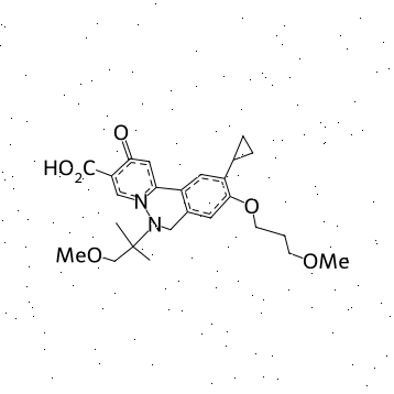 COCCCOc1cc2c(cc1C1CC1)-c1cc(=O)c(C(=O)O)cn1N(C(C)(C)COC)C2